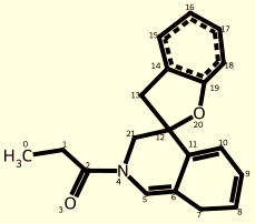 CCC(=O)N1C=C2CC=CC=C2C2(Cc3ccccc3O2)C1